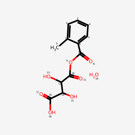 Cc1ccccc1C(=O)OC(=O)C(O)C(O)C(=O)O.O